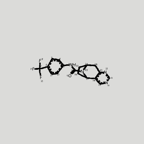 O=C(Nc1ccc(C(F)(F)F)cc1)N1C2CCC1c1cncnc1C2